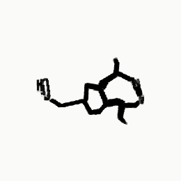 Cc1nnc(C)c2c1CC(CO)C2